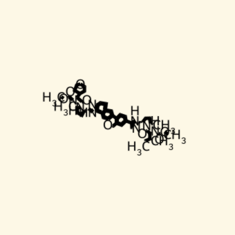 CC[C@H](C)[C@H](NC(=O)OC)C(=O)N1[C@@H](C)CC[C@H]1c1ncc(-c2ccc3c(c2)COc2cc4c(ccc5nc([C@@H]6CC[C@H](C)N6C(=O)C(NC(=O)OC)C6CCOCC6)[nH]c54)cc2-3)[nH]1